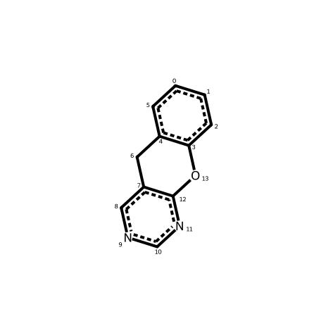 c1ccc2c(c1)Cc1cncnc1O2